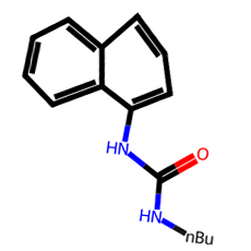 CCCCNC(=O)Nc1cccc2ccccc12